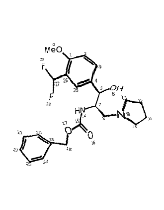 COc1ccc(C(O)[C@@H](CN2CCCC2)NC(=O)OCc2ccccc2)cc1C(F)F